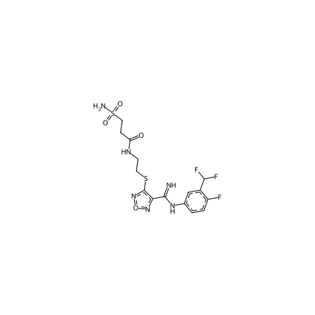 N=C(Nc1ccc(F)c(C(F)F)c1)c1nonc1SCCNC(=O)CCS(N)(=O)=O